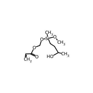 C=CC(=O)OCO[Si](C)(CCC(C)O)OC